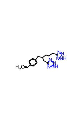 C=Cc1ccc(CC(CCCc2nn[nH]n2)Cc2nn[nH]n2)cc1